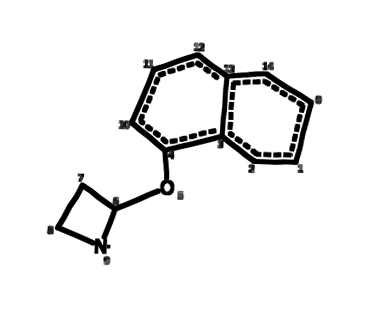 c1ccc2c(OC3CC[N]3)cccc2c1